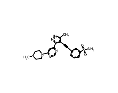 Cc1[nH]nc(-c2cc(N3CCN(C)CC3)ncn2)c1C#Cc1cccc(S(N)(=O)=O)c1